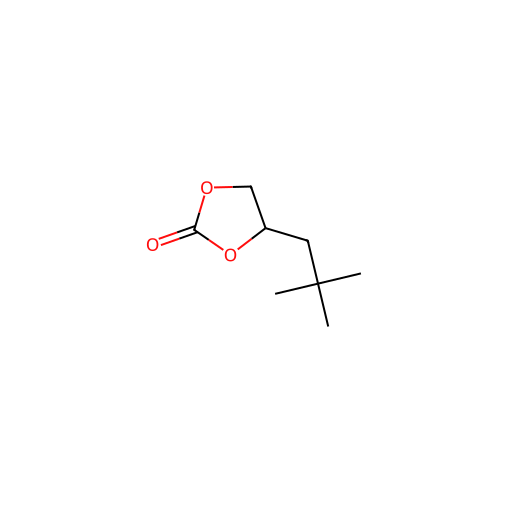 CC(C)(C)CC1COC(=O)O1